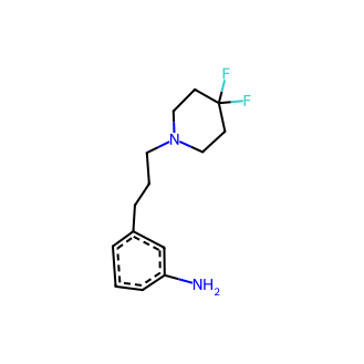 Nc1cccc(CCCN2CCC(F)(F)CC2)c1